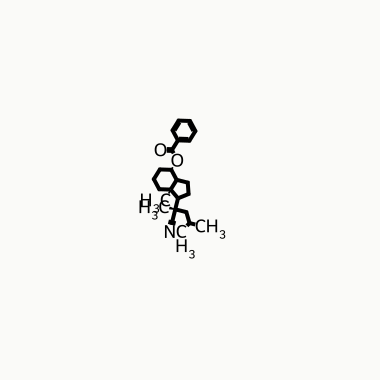 CC(C)C[C@](C)(C#N)C1CCC2[C@@H](OC(=O)c3ccccc3)CCC[C@@]21C